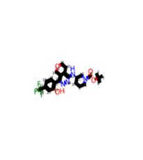 CC(C)(C)OC(=O)N1CCC[C@@H](Nc2nnc(-c3ccc(C(F)(F)F)cc3O)c3c2CCOC3)C1